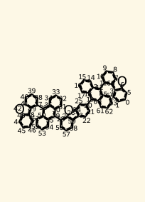 c1ccc2c(c1)oc1cccc(-c3c4ccccc4c(-c4ccc5c(c4)oc4c(-c6c7ccccc7c(-c7cccc8oc9ccccc9c78)c7ccccc67)cccc45)c4ccccc34)c12